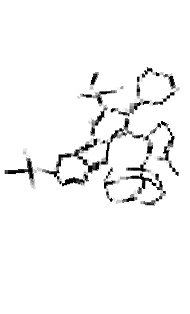 CC1=CCC(c2c3c(cc(C(C)(C)C)c2=C2CCCCC2)=c2cc(C(C)(C)C)ccc2=[C]3)=C1C12CC3CC(CC(C3)C1)C2